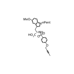 CC#CCOc1ccc(S(=O)(=O)N[C@@H](Cc2cn(CCCCC)c3ccc(OC)cc23)C(=O)O)cc1